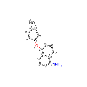 Nc1cccc2c(Oc3ccc([N+](=O)[O-])cc3)cccc12